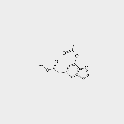 CCOC(=O)Cc1cc(OC(C)=O)c2occc2c1